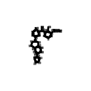 CC(=O)Nc1cccc(Nc2ncnc(N3CCc4cc(-c5cccs5)ccc4C3)n2)c1C